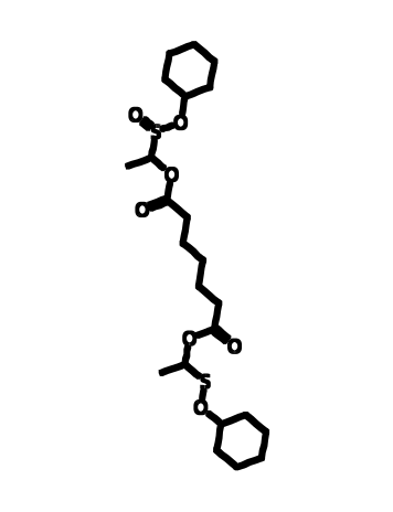 CC(OC(=O)CCCCCC(=O)OC(C)S(=O)OC1CCCCC1)SOC1CCCCC1